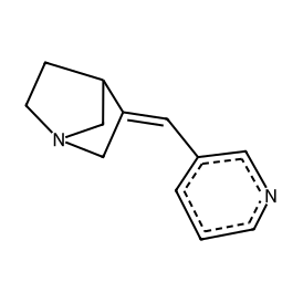 C(=C1CN2CCC1C2)c1cccnc1